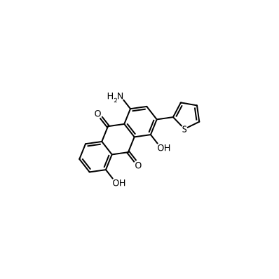 Nc1cc(-c2cccs2)c(O)c2c1C(=O)c1cccc(O)c1C2=O